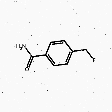 NC(=O)c1ccc(CF)cc1